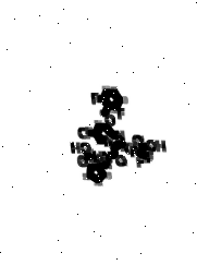 Cc1nc2c(OCc3c(F)cccc3F)cc(Cl)cn2c1C(=O)NCC1(NC(=O)O)CCCC1.O=C(O)C(F)(F)F